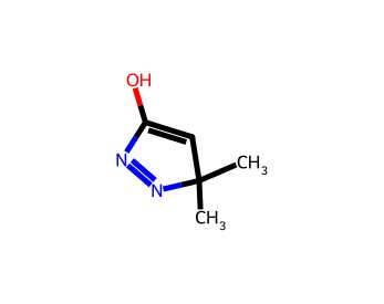 CC1(C)C=C(O)N=N1